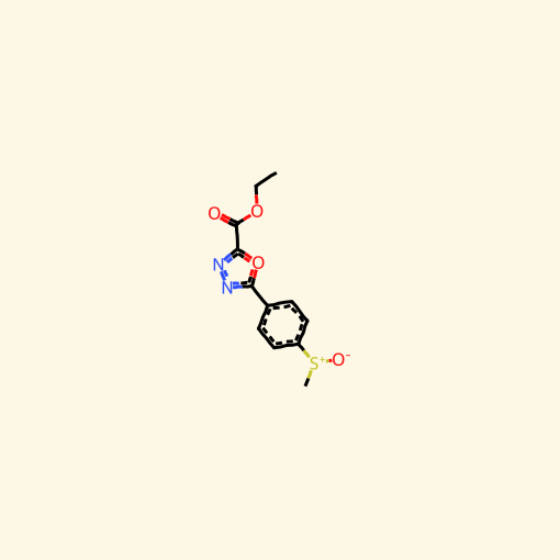 CCOC(=O)c1nnc(-c2ccc([S+](C)[O-])cc2)o1